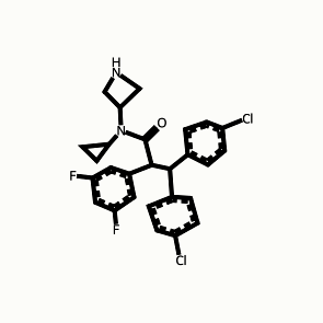 O=C(C(c1cc(F)cc(F)c1)C(c1ccc(Cl)cc1)c1ccc(Cl)cc1)N(C1CC1)C1CNC1